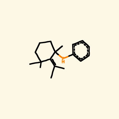 CC(C)=C1C(C)(C)CCCC1(C)Pc1ccccc1